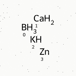 B.[CaH2].[KH].[Zn]